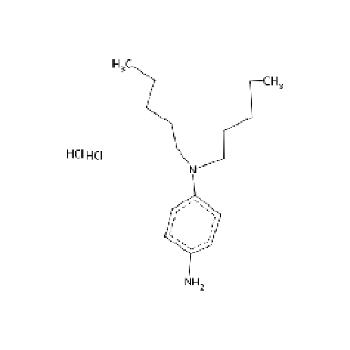 CCCCCN(CCCCC)c1ccc(N)cc1.Cl.Cl